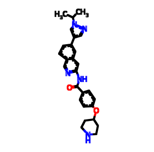 CC(C)n1cc(-c2ccc3cnc(NC(=O)c4ccc(OC5CCNCC5)cc4)cc3c2)cn1